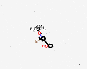 C[Si](C)(C)CCOCn1cc(Br)c2cc(C#CC3(O)CCCCC3)ccc21